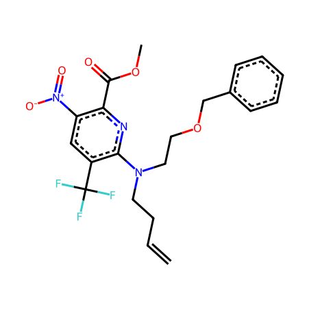 C=CCCN(CCOCc1ccccc1)c1nc(C(=O)OC)c([N+](=O)[O-])cc1C(F)(F)F